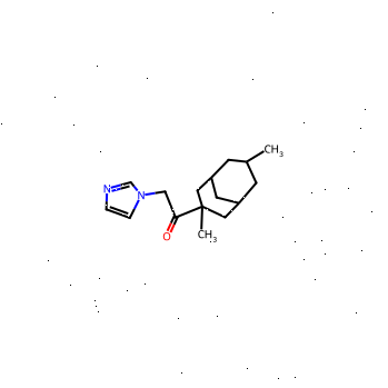 CC1CC2CC(C1)CC(C)(C(=O)Cn1ccnc1)C2